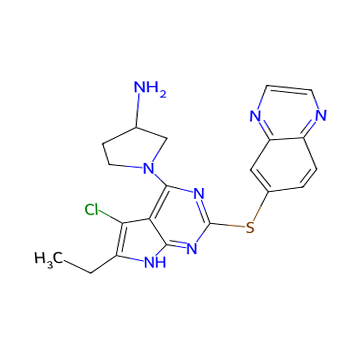 CCc1[nH]c2nc(Sc3ccc4nccnc4c3)nc(N3CCC(N)C3)c2c1Cl